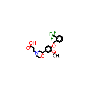 COc1cc(C2CN(CCC(=O)O)CCO2)ccc1OCc1ccccc1C(F)(F)F